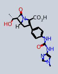 C[C@@H](O)[C@H]1C(=O)N2C(C(=O)O)=C(c3ccc(NC(=O)Nc4cn(C)cn4)cc3)C[C@H]12